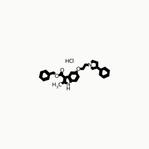 Cc1[nH]c2ccc(OCCN3CCC(c4ccccc4)C3)cc2c1C(=O)OCc1ccccc1.Cl